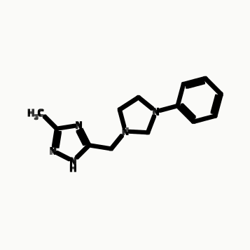 Cc1n[nH]c(CN2CCN(c3ccccc3)C2)n1